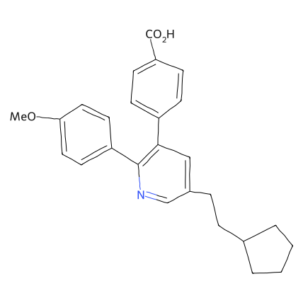 COc1ccc(-c2ncc(CCC3CCCC3)cc2-c2ccc(C(=O)O)cc2)cc1